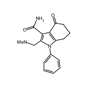 CNCc1c(C(N)=O)c2c(n1-c1ccccc1)CCCC2=O